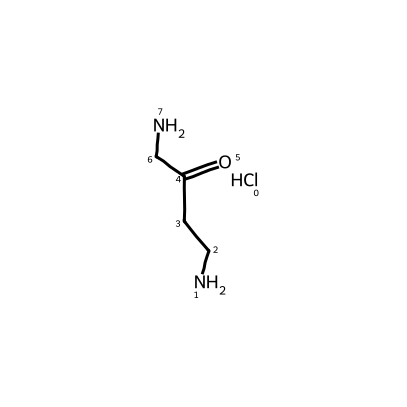 Cl.NCCC(=O)CN